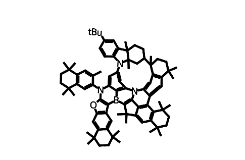 Cc1cc2c(cc1N1c3cc4cc5c3B(C3=C6c7c(cc8c(c7-c7cc9c(cc7N65)C(C)(CCC9(C)C)C5CCC6(C)c7cc(C(C)(C)C)ccc7N4C6(C)C5)C(C)(C)CCC8(C)C)C3(C)C)c3c1oc1cc4c(cc31)C(C)(C)CCC4(C)C)C(C)(C)CCC2(C)C